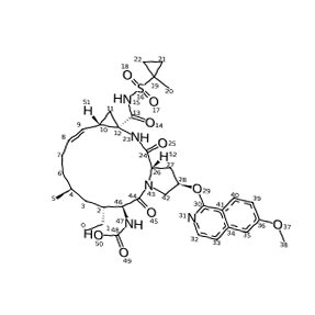 CC[C@@H]1C[C@@H](C)CC/C=C\[C@@H]2C[C@@]2(C(=O)NS(=O)(=O)C2(C)CC2)NC(=O)[C@@H]2C[C@@H](Oc3nccc4cc(OC)ccc34)CN2C(=O)[C@H]1NC(=O)O